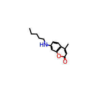 CCCCCNc1ccc2c(C)cc(=O)oc2c1